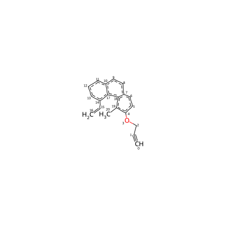 C#CCOc1ccc2ccc3cccc(C=C)c3c2c1C